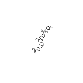 CCC(CC)C(=O)N(Cc1ccc(C(=O)NCc2ccc(OC)cc2)cc1)C1CCN(Cc2ccc([N+](=O)[O-])cc2)CC1